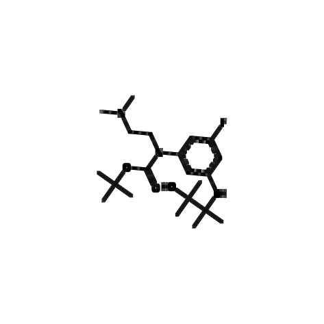 CN(C)CCN(C(=O)OC(C)(C)C)c1cc(F)cc(BC(C)(C)C(C)(C)O)c1